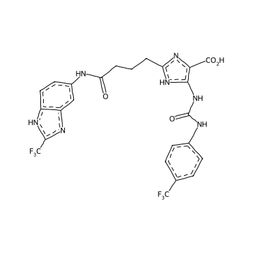 O=C(CCCc1nc(C(=O)O)c(NC(=O)Nc2ccc(C(F)(F)F)cc2)[nH]1)Nc1ccc2[nH]c(C(F)(F)F)nc2c1